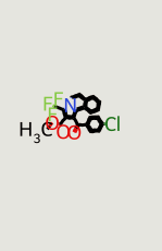 COC(=O)c1c(C(=O)c2ccc(Cl)cc2)c2c3ccccc3ccn2c1C(F)(F)F